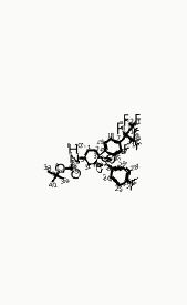 C[C@@H]1C[C@](c2ccc(C(F)(C(F)(F)F)C(F)(F)F)cc2)(S(=O)(=O)c2ccc(F)cc2)CCC1NC(=O)OC(C)(C)C